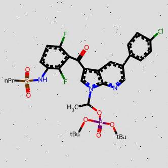 CCCS(=O)(=O)Nc1ccc(F)c(C(=O)c2cn(C(C)OP(=O)(OC(C)(C)C)OC(C)(C)C)c3ncc(-c4ccc(Cl)cc4)cc23)c1F